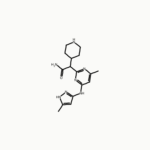 Cc1cc(Nc2cc(C)[nH]n2)nc(C(C(N)=O)C2CCNCC2)n1